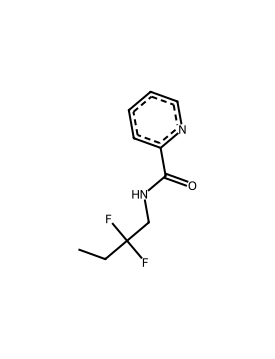 CCC(F)(F)CNC(=O)c1ccccn1